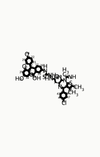 CC(=N)N1C(=N)[C@H](CC(=O)NNC(=S)Nc2ccc(-c3c4ccc(=O)cc-4oc4cc(O)ccc34)c(C(=O)O)c2)N=C(c2ccc(Cl)cc2)c2c1sc(C)c2C